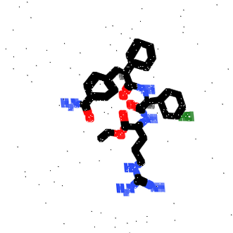 CCOC(=O)C(CCCNC(=N)N)NC(=O)[C@@H](NC(=O)[C@@H](Cc1ccc(C(N)=O)cc1)c1ccccc1)C1CCCCC1.Cl